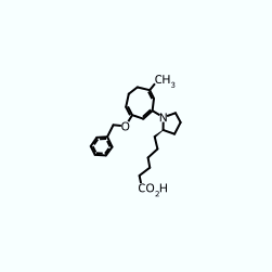 C/C1=C/C(N2CCC[C@H]2CCCCCC(=O)O)=C\C(OCc2ccccc2)=C/CC1